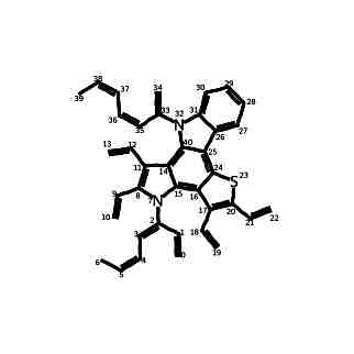 C=C/C(=C\C=C/C)n1c(C=C)c(C=C)c2c1c1c(C=C)c(C=C)sc1c1c3ccccc3n(C(=C)/C=C\C=C/C)c21